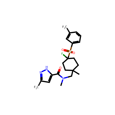 CN(CC1(C)CCC(F)(S(=O)(=O)c2cccc(C(F)(F)F)c2)CC1)C(=O)c1cc(C(F)(F)F)n[nH]1